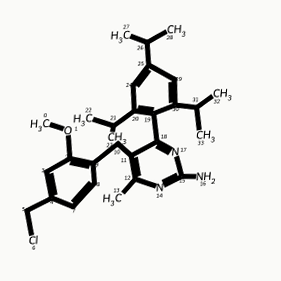 COc1cc(CCl)ccc1Cc1c(C)nc(N)nc1-c1c(C(C)C)cc(C(C)C)cc1C(C)C